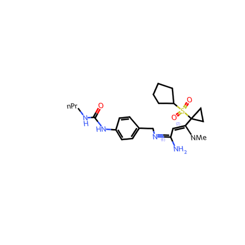 CCCNC(=O)Nc1ccc(C/N=C(N)\C=C(/NC)C2(S(=O)(=O)C3CCCC3)CC2)cc1